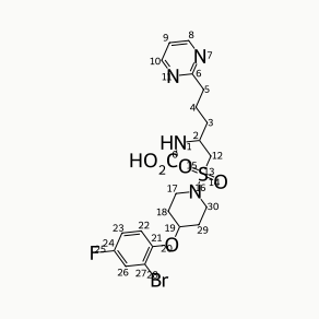 O=C(O)NC(CCCc1ncccn1)CS(=O)(=O)N1CCC(Oc2ccc(F)cc2Br)CC1